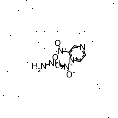 NN.O=[N+]([O-])c1cncc[n+]1[N+](=O)[O-]